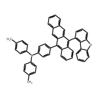 Cc1ccc(N(c2ccc(C)cc2)c2ccc(-c3c4ccccc4c(-c4cccc5oc6ccccc6c45)c4cc5ccccc5cc34)cc2)cc1